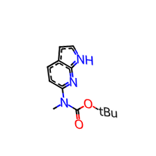 CN(C(=O)OC(C)(C)C)c1ccc2cc[nH]c2n1